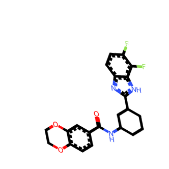 O=C(NC1CCCC(c2nc3ccc(F)c(F)c3[nH]2)C1)c1ccc2c(c1)OCCO2